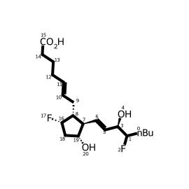 CCCCC(F)[C@H](O)C=C[C@@H]1[C@@H](CC=CCCCC(=O)O)[C@@H](F)C[C@H]1O